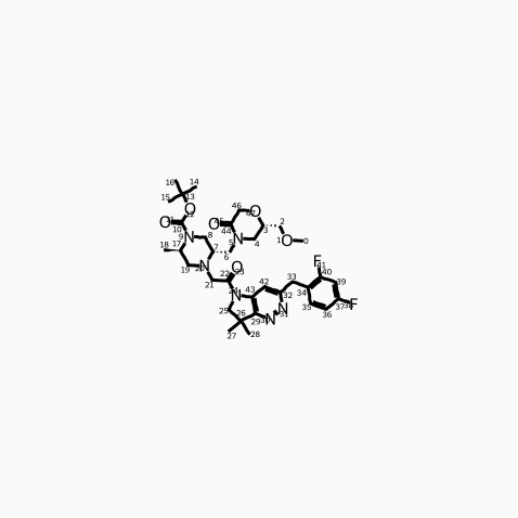 COC[C@@H]1CN(C[C@H]2CN(C(=O)OC(C)(C)C)[C@H](C)CN2CC(=O)N2CC(C)(C)c3nnc(Cc4ccc(F)cc4F)cc32)C(=O)CO1